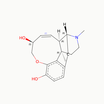 CN1CC[C@@]2(C)c3c4ccc(O)c3OC[C@@H](O)/C=C\[C@H]2[C@H]1C4